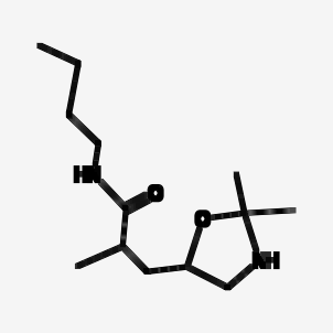 CCCCNC(=O)C(C)CC1CNC(C)(C)O1